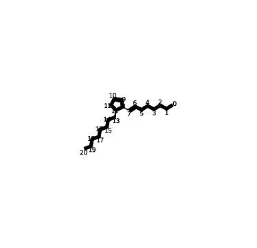 CCCCCCC=C[C@H]1C=CC[C@@H]1CCCCCCCC